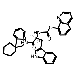 C[C@@](Cc1c[nH]c2ccccc12)(NC(=O)Oc1cccc2cccnc12)C(=O)NCC1(c2ccccn2)CCCCC1